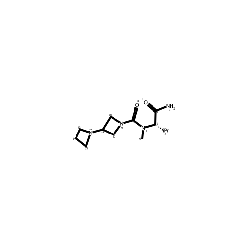 CC(C)[C@@H](C(N)=O)N(C)C(=O)N1CC(N2CCC2)C1